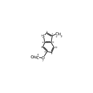 Cc1csc2cc(OC=O)ccc12